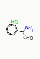 Cl.N[C@H](C=O)c1ccccc1